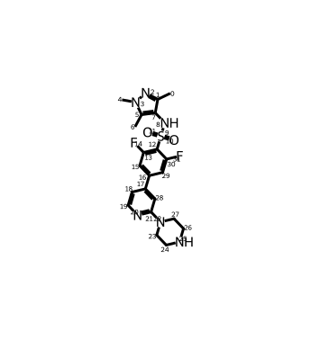 Cc1nn(C)c(C)c1NS(=O)(=O)c1c(F)cc(-c2ccnc(N3CCNCC3)c2)cc1F